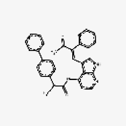 CC(C(=O)Nc1ccnc2[nH]cc(/C=C(/C(N)=O)c3ccccc3)c12)c1ccc(-c2ccccc2)cc1